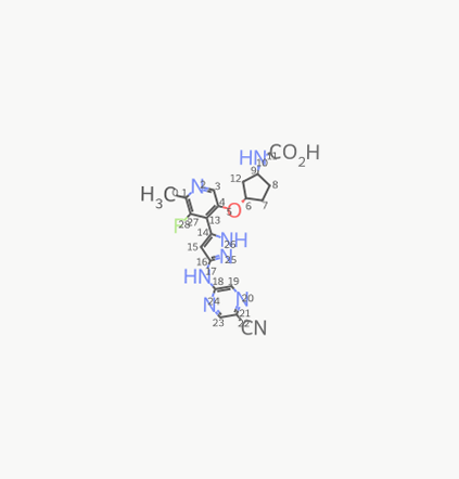 Cc1ncc(O[C@@H]2CC[C@H](NC(=O)O)C2)c(-c2cc(Nc3cnc(C#N)cn3)n[nH]2)c1F